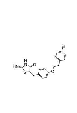 CCc1ccc(CCOc2ccc(CC3SC(=N)NC3=O)cc2)nc1